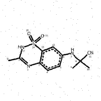 CC1=Nc2ccc(NC(C)(C)C#N)cc2S(=O)(=O)N1